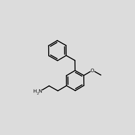 COc1ccc(CCN)cc1Cc1ccccc1